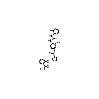 COc1cc(CC(=O)N2CCCC2COc2ccccc2C(=O)O)ccc1NC(=O)Nc1ccccc1C